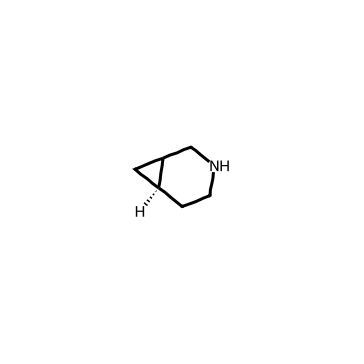 C1C[C@H]2CC2CN1